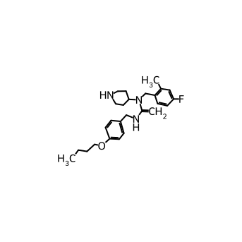 C=C(NCc1ccc(OCCCC)cc1)N(Cc1ccc(F)cc1C)C1CCNCC1